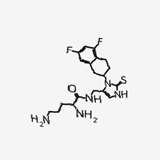 NCCC[C@H](N)C(=O)NCc1c[nH]c(=S)n1C1CCc2c(F)cc(F)cc2C1